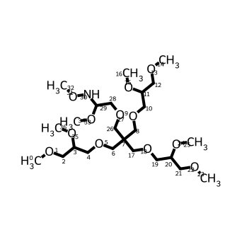 COCC(COCC(COCC(COC)OC)(COCC(COC)OC)COCC(NOC)OC)OC